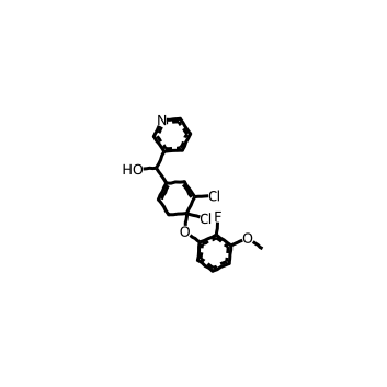 COc1cccc(OC2(Cl)CC=C(C(O)c3cccnc3)C=C2Cl)c1F